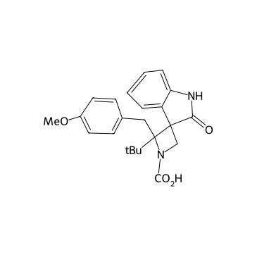 COc1ccc(CC2(C(C)(C)C)N(C(=O)O)CC23C(=O)Nc2ccccc23)cc1